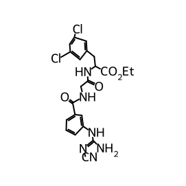 CCOC(=O)C(Cc1cc(Cl)cc(Cl)c1)NC(=O)CNC(=O)c1cccc(NC(N)=NC#N)c1